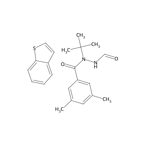 Cc1cc(C)cc(C(=O)N(NC=O)C(C)(C)C)c1.c1ccc2sccc2c1